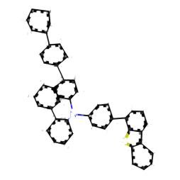 c1ccc(-c2ccc(-c3ccc(N(c4ccc(-c5cccc6c5sc5ccccc56)cc4)c4ccccc4-c4ccccc4)cc3)cc2)cc1